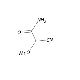 COC(C#N)C(N)=O